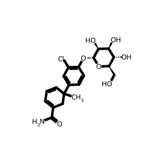 CC1(c2ccc(O[C@H]3O[C@H](CO)[C@@H](O)[C@H](O)[C@@H]3O)c(Cl)c2)C=CC=C(C(N)=O)C1